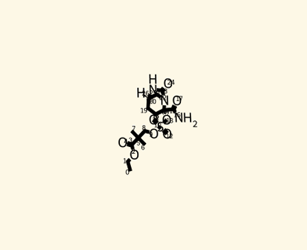 CCOC(=O)C(C)(C)COS(=O)(=O)O[C@]1(C(N)=O)CC[C@@H]2CN1C(=O)N2